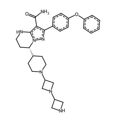 NC(=O)c1c(-c2ccc(Oc3ccccc3)cc2)nn2c1NCC[C@H]2C1CCN(C2CN(C3CNC3)C2)CC1